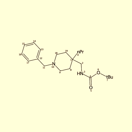 CCCC1(CNC(=O)OC(C)(C)C)CCN(Cc2ccccc2)CC1